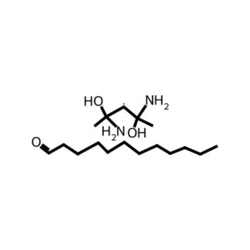 CC(N)(O)[CH]C(C)(N)O.CCCCCCCCCCCC=O